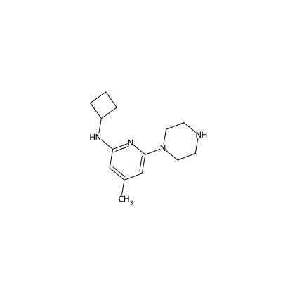 Cc1cc(NC2CCC2)nc(N2CCNCC2)c1